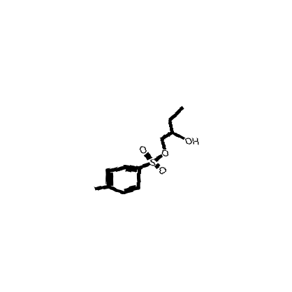 CCC(O)COS(=O)(=O)c1ccc(C)cc1